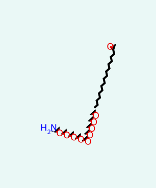 C1CO1.C1CO1.C1CO1.C1CO1.C1CO1.C1CO1.C1CO1.C1CO1.C1CO1.CCCCCCCCCCCCCCCCC1CO1.CN